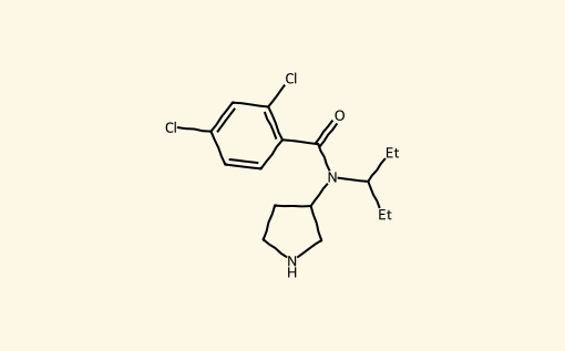 CCC(CC)N(C(=O)c1ccc(Cl)cc1Cl)C1CCNC1